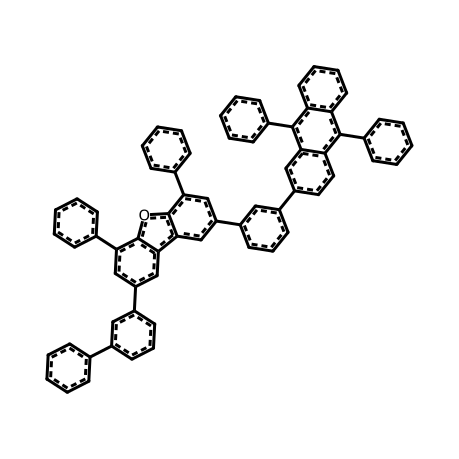 c1ccc(-c2cccc(-c3cc(-c4ccccc4)c4oc5c(-c6ccccc6)cc(-c6cccc(-c7ccc8c(-c9ccccc9)c9ccccc9c(-c9ccccc9)c8c7)c6)cc5c4c3)c2)cc1